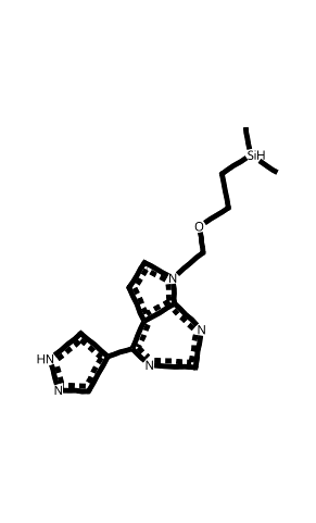 C[SiH](C)CCOCn1ccc2c(-c3cn[nH]c3)ncnc21